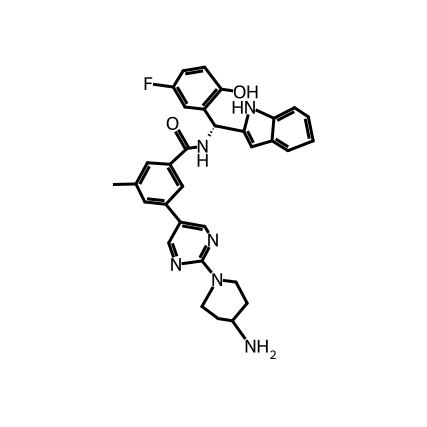 Cc1cc(C(=O)N[C@@H](c2cc3ccccc3[nH]2)c2cc(F)ccc2O)cc(-c2cnc(N3CCC(N)CC3)nc2)c1